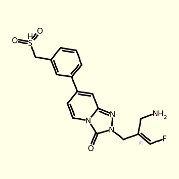 NC/C(=C\F)Cn1nc2cc(-c3cccc(C[SH](=O)=O)c3)ccn2c1=O